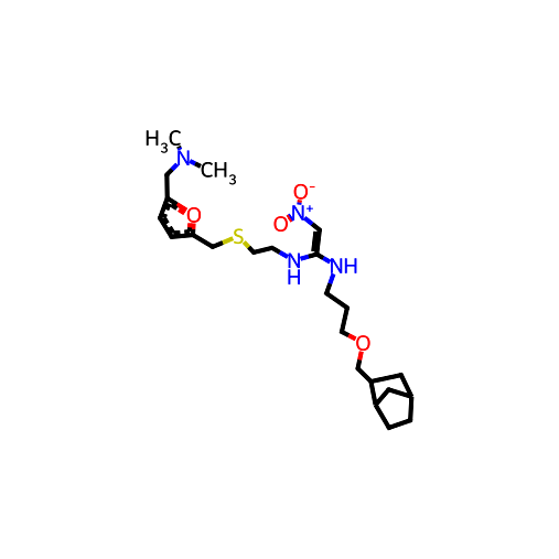 CN(C)Cc1ccc(CSCCNC(=C[N+](=O)[O-])NCCCOCC2CC3CCC2C3)o1